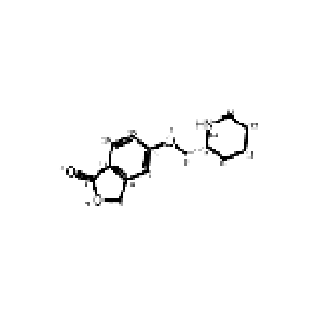 O=C1OCc2cc(OC[C@H]3CCCCN3)ccc21